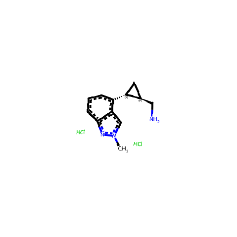 Cl.Cl.Cn1cc2c([C@@H]3C[C@H]3CN)cccc2n1